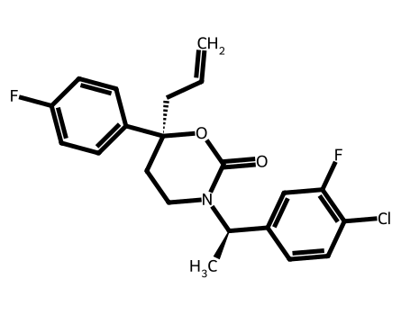 C=CC[C@@]1(c2ccc(F)cc2)CCN([C@H](C)c2ccc(Cl)c(F)c2)C(=O)O1